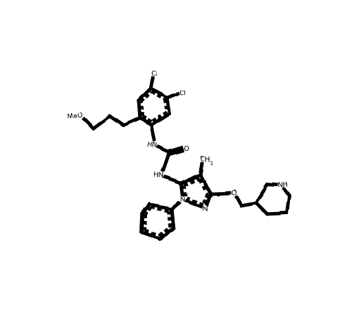 COCCCc1cc(Cl)c(Cl)cc1NC(=O)Nc1c(C)c(OCC2CCCNC2)nn1-c1ccccc1